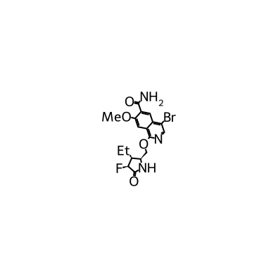 CC[C@@H]1[C@H](F)C(=O)N[C@@H]1COc1ncc(Br)c2cc(C(N)=O)c(OC)cc12